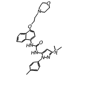 Cc1ccc(-n2nc([Si](C)(C)C)cc2NC(=O)Nc2ccc(OCCN3CCOCC3)c3ccccc23)cc1